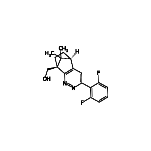 CC1(C)[C@H]2CC[C@@]1(CO)c1nnc(-c3c(F)cccc3F)cc12